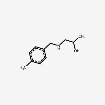 Cc1ccc(CNCC(C)O)cc1